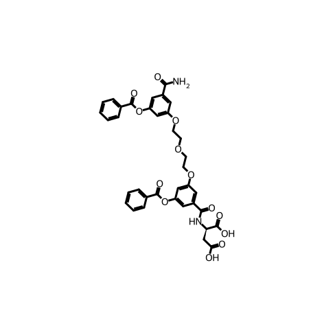 NC(=O)c1cc(OCCOCCOc2cc(OC(=O)c3ccccc3)cc(C(=O)N[C@H](CC(=O)O)C(=O)O)c2)cc(OC(=O)c2ccccc2)c1